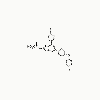 O=C(O)NCc1cc2cc(-c3ccc(Oc4ccc(F)cc4)cn3)cc(-c3ccc(F)cc3)c2o1